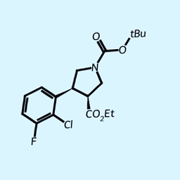 CCOC(=O)[C@@H]1CN(C(=O)OC(C)(C)C)C[C@@H]1c1cccc(F)c1Cl